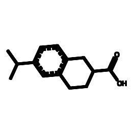 CC(C)c1ccc2c(c1)CCC(C(=O)O)C2